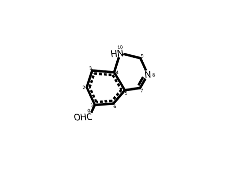 O=Cc1ccc2c(c1)C=NCN2